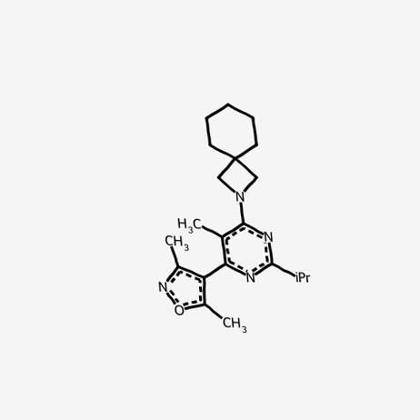 Cc1noc(C)c1-c1nc(C(C)C)nc(N2CC3(CCCCC3)C2)c1C